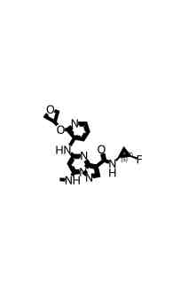 CNc1cc(Nc2cccnc2OC2COC2)nc2c(C(=O)N[C@H]3C[C@H]3F)cnn12